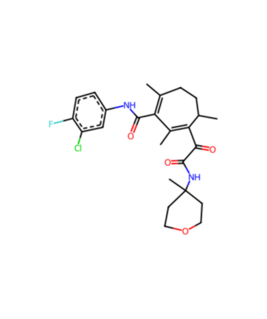 CC1=C(C(=O)Nc2ccc(F)c(Cl)c2)C(C)=C(C(=O)C(=O)NC2(C)CCOCC2)C(C)CC1